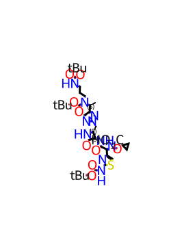 C[C@@H](c1cnn(C[C@@H]2NC(=O)[C@H]2NC(=O)C(=NOC2(C(=O)O)CC2)c2csc(NC(=O)OC(C)(C)C)n2)n1)N(CCCNC(=O)OC(C)(C)C)C(=O)OC(C)(C)C